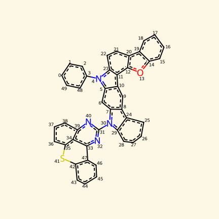 c1ccc(-n2c3cc4c(cc3c3c5oc6ccccc6c5ccc32)c2ccccc2n4-c2nc3c4c(cccc4n2)Sc2ccccc2-3)cc1